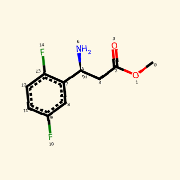 COC(=O)C[C@H](N)c1cc(F)ccc1F